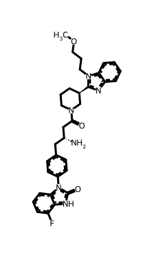 COCCCn1c([C@@H]2CCCN(C(=O)C[C@H](N)Cc3ccc(-n4c(=O)[nH]c5c(F)cccc54)cc3)C2)nc2ccccc21